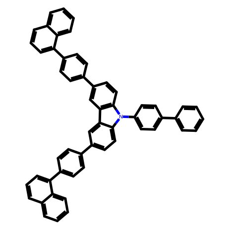 c1ccc(-c2ccc(-n3c4ccc(-c5ccc(-c6cccc7ccccc67)cc5)cc4c4cc(-c5ccc(-c6cccc7ccccc67)cc5)ccc43)cc2)cc1